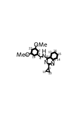 COc1cc(CNc2nc(C3CC3)nc3ccccc23)cc(OC)c1